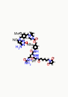 CCCCOc1nc(N)c2cc(C#N)n(Cc3ccc(CN4CCN(C(=O)OCc5ccc(NC(=O)[C@H](CCCNC(N)=O)NC(=O)[C@@H](NC(=O)CCCCCN6C(=O)C=CC6=O)C(C)C)cc5)CC45CC5)cc3OC)c2n1